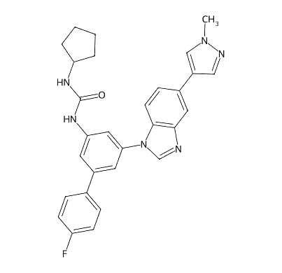 Cn1cc(-c2ccc3c(c2)ncn3-c2cc(NC(=O)NC3CCCC3)cc(-c3ccc(F)cc3)c2)cn1